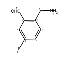 NCc1ccc(F)cc1[C]=O